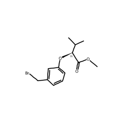 COC(=O)[C@@H](Oc1cccc(CBr)c1)C(C)C